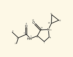 CC(C)C(=O)NC1CCN(C2CC2)C1=O